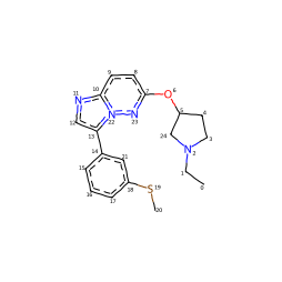 CCN1CCC(Oc2ccc3ncc(-c4cccc(SC)c4)n3n2)C1